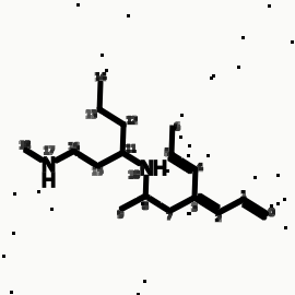 C=C/C=C(\C=C\C)CC(C)NC(CCC)CCNC